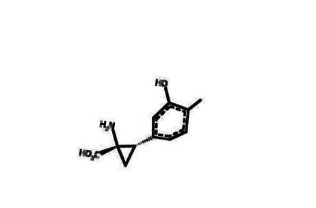 Cc1ccc([C@@H]2C[C@@]2(N)C(=O)O)cc1O